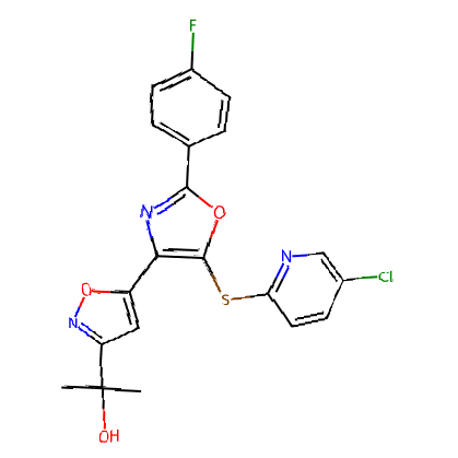 CC(C)(O)c1cc(-c2nc(-c3ccc(F)cc3)oc2Sc2ccc(Cl)cn2)on1